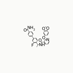 CC(NC(=O)c1cccnc1Oc1ccc2c(c1)OCO2)c1ccc(-c2ccc(C(N)=O)cc2)cc1F